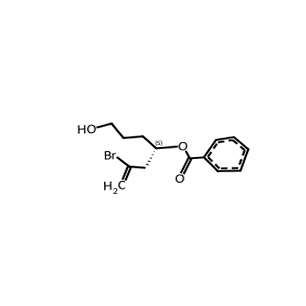 C=C(Br)C[C@H](CCCO)OC(=O)c1ccccc1